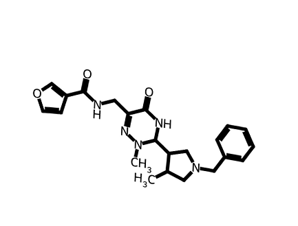 CC1CN(Cc2ccccc2)CC1C1NC(=O)C(CNC(=O)c2ccoc2)=NN1C